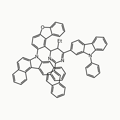 CCC1C(c2ccc3c4ccccc4n(-c4ccccc4)c3c2)=NC(c2ccc3ccccc3c2)=NC1c1c(-n2c3cc4ccccc4cc3c3c4ccccc4ccc32)ccc2oc3ccccc3c12